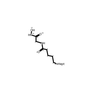 CCCCCCCCCCCC(=O)NCC(=O)NO